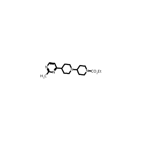 CCOC(=O)N1CCC(N2CCC(c3ccnc(C)n3)CC2)CC1